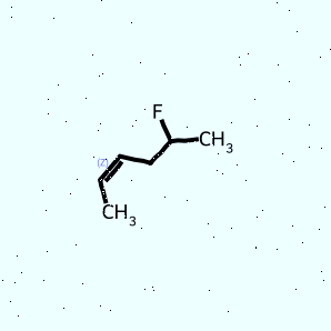 C/C=C\CC(C)F